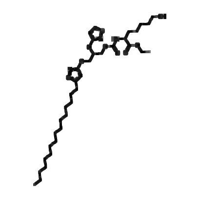 CCCCCCCCCCCCCCCCc1cc(OCC(COC(=O)NC(CCCCCO)C(=O)OCC)Oc2ccon2)no1